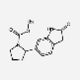 CC(C)(C)OC(=O)N1CCCC1c1ccc2c(c1)NC(=O)C2